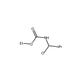 CCCC(Cl)NC(=O)OCC